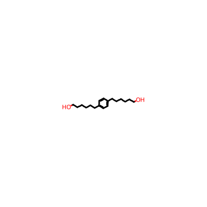 OCCCCCCc1ccc(CCCCCCO)cc1